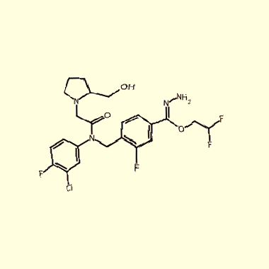 N/N=C(\OCC(F)F)c1ccc(CN(C(=O)CN2CCCC2CO)c2ccc(F)c(Cl)c2)c(F)c1